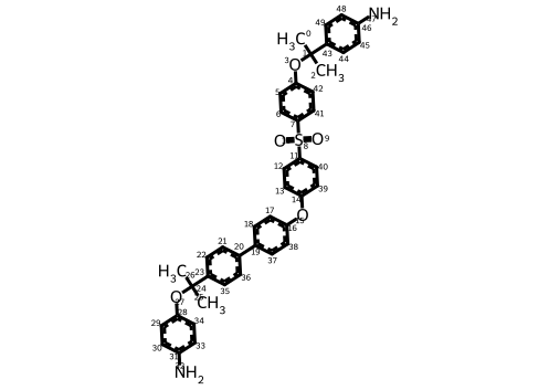 CC(C)(Oc1ccc(S(=O)(=O)c2ccc(Oc3ccc(-c4ccc(C(C)(C)Oc5ccc(N)cc5)cc4)cc3)cc2)cc1)c1ccc(N)cc1